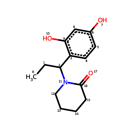 CCC(c1ccc(O)cc1O)N1CCCCC1=O